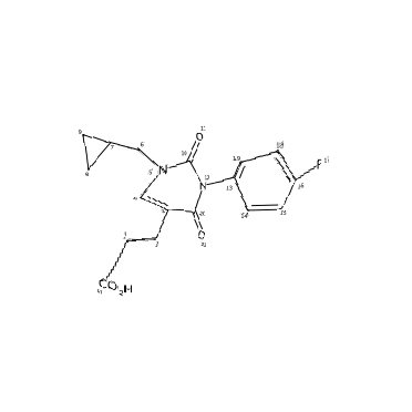 O=C(O)CCc1cn(CC2CC2)c(=O)n(-c2ccc(F)cc2)c1=O